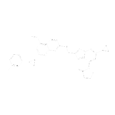 COc1cc([C@@H]2C[C@@H]2c2cccc(Cl)c2)nc2cc(NCc3cn4cc(C5CC5)cc(N5CCCC5=O)c4n3)ccc12